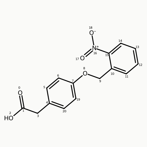 O=C(O)Cc1ccc(OCc2ccccc2[N+](=O)[O-])cc1